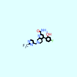 NC(=O)c1cc(-c2ccc(F)cc2O)c2c(n1)CN(Cc1ccnc(C(F)(F)F)n1)CC2